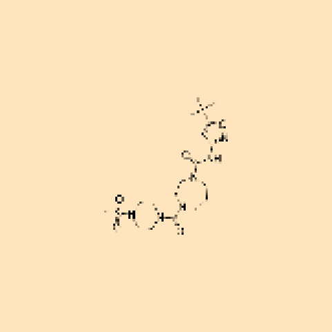 CC(C)(C)c1cc(NC(=O)N2CCCN(C(=O)N3CCN(S(C)(=O)=O)CC3)CC2)no1